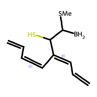 BC(SC)C(S)C(/C=C\C=C)=C/C=C